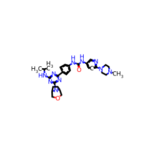 CC(C)Nc1nc(-c2ccc(NC(=O)Nc3ccc(N4CCN(C)CC4)nc3)cc2)nc(N2C3CCC2COC3)n1